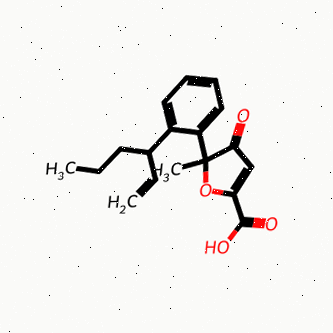 C=CC(CCC)c1ccccc1C1(C)OC(C(=O)O)=CC1=O